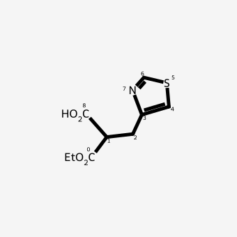 CCOC(=O)C(Cc1cscn1)C(=O)O